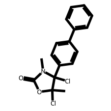 CN1C(=O)OC(C)(Cl)C1(Cl)c1ccc(-c2ccccc2)cc1